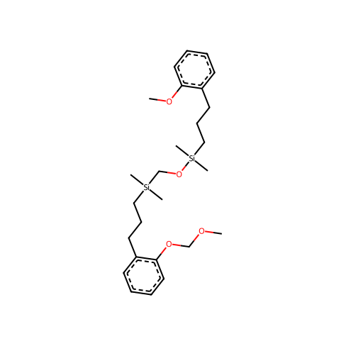 COCOc1ccccc1CCC[Si](C)(C)CO[Si](C)(C)CCCc1ccccc1OC